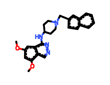 COc1cc(OC)c2cnnc(NC3CCN(Cc4ccc5ccccc5c4)CC3)c2c1